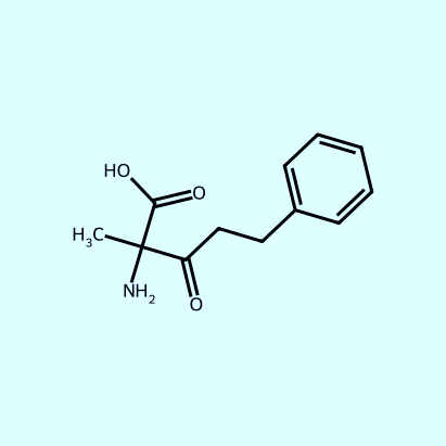 CC(N)(C(=O)O)C(=O)CCc1ccccc1